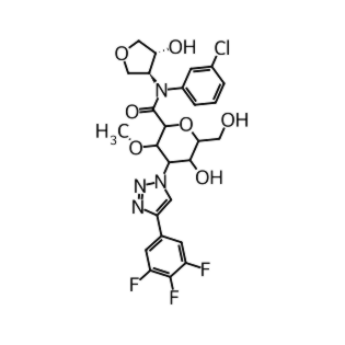 COC1C(C(=O)N(c2cccc(Cl)c2)[C@H]2COC[C@@H]2O)OC(CO)C(O)C1n1cc(-c2cc(F)c(F)c(F)c2)nn1